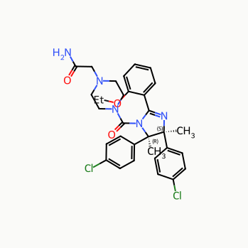 CCOc1ccccc1C1=N[C@@](C)(c2ccc(Cl)cc2)[C@@](C)(c2ccc(Cl)cc2)N1C(=O)N1CCN(CC(N)=O)CC1